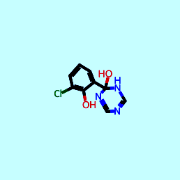 Oc1c(Cl)cccc1C1(O)N=CN=CN1